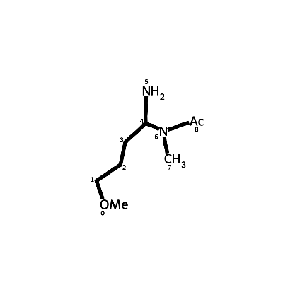 COCCCC(N)N(C)C(C)=O